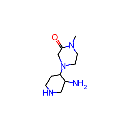 CN1CCN(C2CCNCC2N)CC1=O